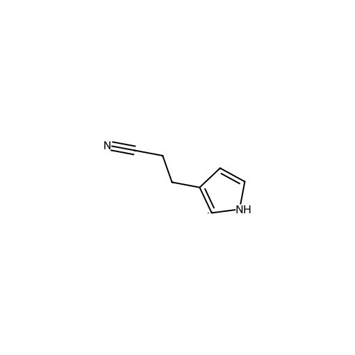 N#CCCc1[c][nH]cc1